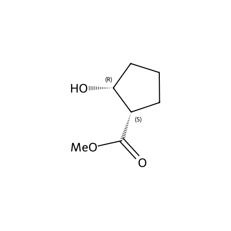 COC(=O)[C@H]1CCC[C@H]1O